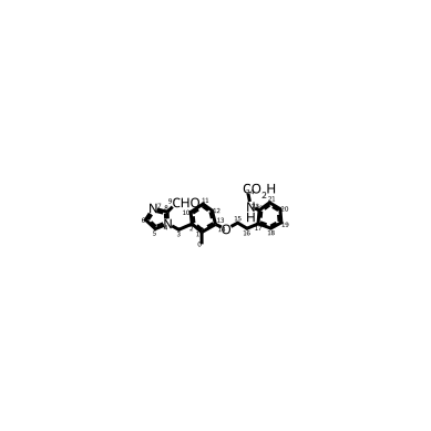 Cc1c(Cn2ccnc2C=O)cccc1OCCc1ccccc1NC(=O)O